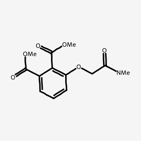 CNC(=O)COc1cccc(C(=O)OC)c1C(=O)OC